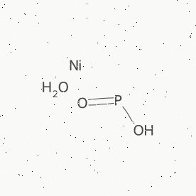 O.O=PO.[Ni]